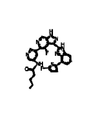 CCCCC(=O)Nc1cncc(-c2ncc3[nH]nc(-c4nc5c(-c6ccc(F)s6)cccc5[nH]4)c3c2F)c1